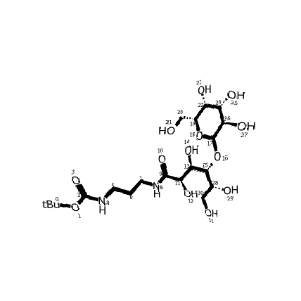 CC(C)(C)OC(=O)NCCCNC(=O)[C@H](O)[C@@H](O)[C@H](OC1O[C@H](CO)[C@H](O)[C@H](O)[C@H]1O)[C@H](O)CO